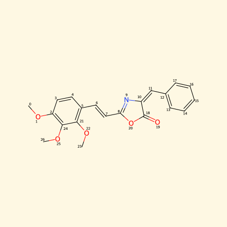 COc1ccc(C=CC2=NC(=Cc3ccccc3)C(=O)O2)c(OC)c1OC